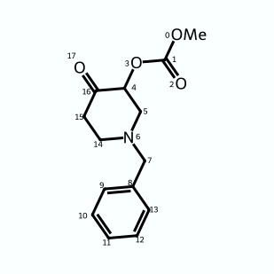 COC(=O)OC1CN(Cc2ccccc2)CCC1=O